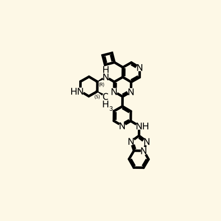 C[C@H]1CNCC[C@H]1Nc1nc(-c2ccnc(Nc3nc4ccccn4n3)c2)nc2cncc(C3=CC=C3)c12